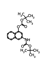 CC(C)(C)OC(=O)Nc1cc(OC(=O)OC(C)(C)C)c2ccccc2c1